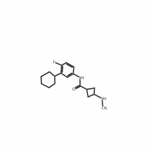 N#CNC1CC(C(=O)Nc2ccc(F)c(C3CCCCC3)c2)C1